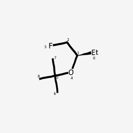 CC[C@H](CF)OC(C)(C)C